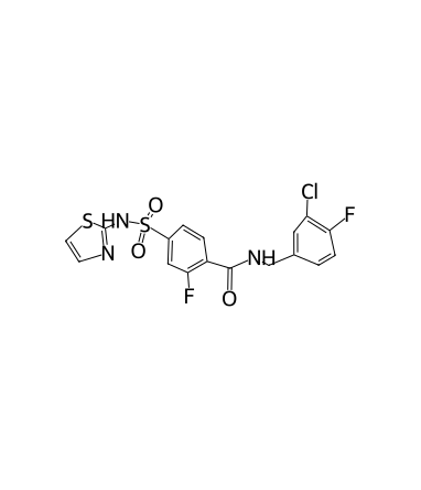 O=C(NCc1ccc(F)c(Cl)c1)c1ccc(S(=O)(=O)Nc2nccs2)cc1F